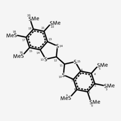 CSc1c(SC)c(SC)c2c(c1SC)SC(C1Sc3c(SC)c(SC)c(SC)c(SC)c3S1)S2